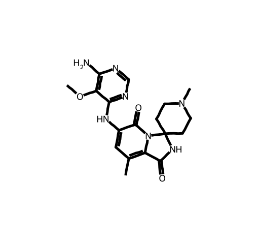 COc1c(N)ncnc1Nc1cc(C)c2n(c1=O)C1(CCN(C)CC1)NC2=O